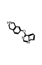 c1cc2c(Oc3ccc4c(c3)CNCC4)ncnn2c1